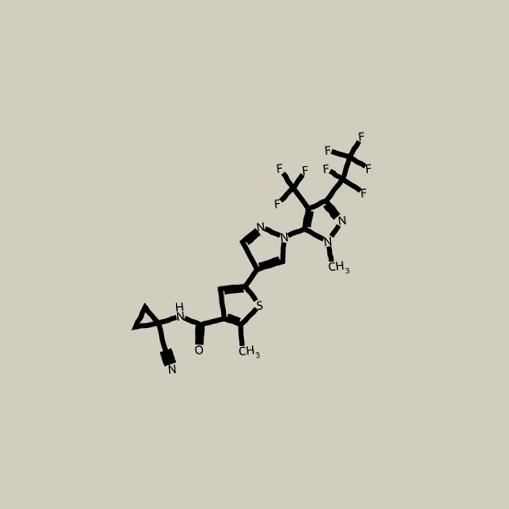 Cc1sc(-c2cnn(-c3c(C(F)(F)F)c(C(F)(F)C(F)(F)F)nn3C)c2)cc1C(=O)NC1(C#N)CC1